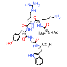 CC[C@H](C)[C@H](NC(C)=O)C(=O)N[C@@H](CCCCN)C(=O)N[C@@H](CCCNC(=N)N)C(=O)N[C@@H](Cc1ccc(O)cc1)C(=O)NCC(=O)N[C@@H](Cc1c[nH]c2ccccc12)C(=O)O